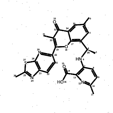 Cc1cc([C@@H](C)Nc2ccc(C)nc2C(=O)O)c2oc(-c3ccc4nc(C)sc4n3)c(C)c(=O)c2c1